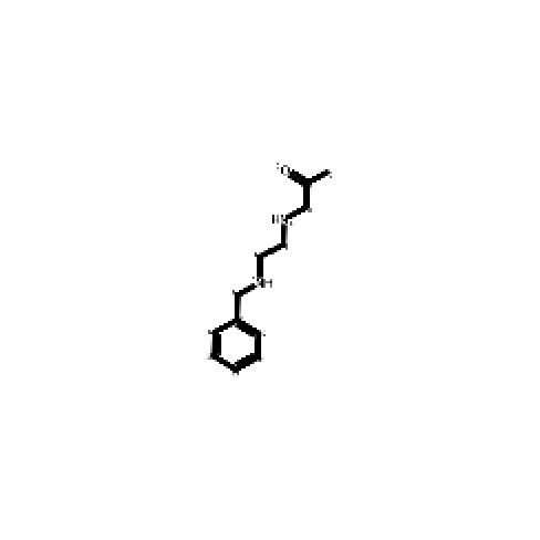 CC(=O)CNCCNCc1ccccc1